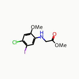 COC(=O)CNc1cc(I)c(Cl)cc1OC